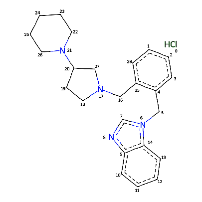 Cl.c1ccc(Cn2cnc3ccccc32)c(CN2CCC(N3CCCCC3)C2)c1